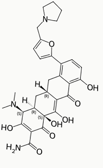 CN(C)[C@@H]1C(O)=C(C(N)=O)C(=O)[C@@]2(O)C(O)=C3C(=O)c4c(O)ccc(-c5ccc(CN6CCCC6)o5)c4C[C@H]3C[C@H]12